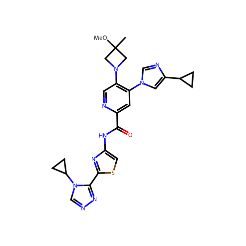 COC1(C)CN(c2cnc(C(=O)Nc3csc(-c4nncn4C4CC4)n3)cc2-n2cnc(C3CC3)c2)C1